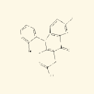 Cc1c(CC(=O)O)c(=O)c2cc(F)ccc2n1-c1ccccc1Br